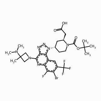 CN(C)C1(C)CN(c2nc3c(F)c(Br)c(C(F)(F)F)cc3c3c2nnn3[C@H]2CCN(C(=O)OC(C)(C)C)[C@H](CC(=O)O)C2)C1